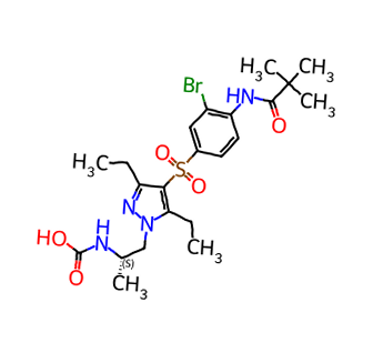 CCc1nn(C[C@H](C)NC(=O)O)c(CC)c1S(=O)(=O)c1ccc(NC(=O)C(C)(C)C)c(Br)c1